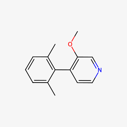 COc1cnccc1-c1c(C)cccc1C